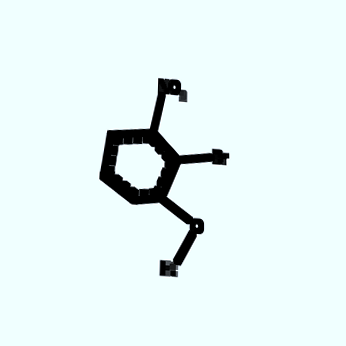 CCOc1cccc([N+](=O)[O-])c1Br